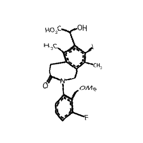 COc1c(F)cccc1N1Cc2c(C)c(I)c(C(O)C(=O)O)c(C)c2CC1=O